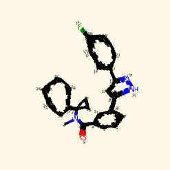 CN(C(=O)c1cccc(-c2cc(-c3ccc(F)cc3)n[nH]2)c1)C1(c2ccccc2)CC1